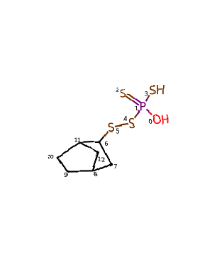 OP(=S)(S)SSC1CC2CCC1C2